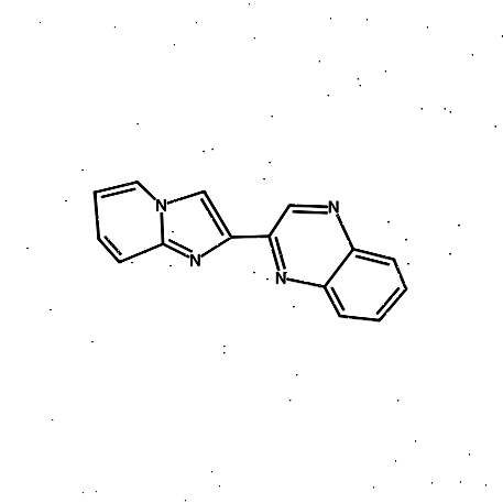 c1ccc2nc(-c3cn4ccccc4n3)cnc2c1